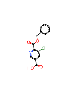 O=C(O)c1cnc(C(=O)OCc2ccccc2)c(Cl)c1